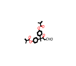 C=C(C)C(=O)Oc1ccc(C(C)(C(=O)CC=O)c2ccc(OC(=O)C(=C)C)cc2)cc1